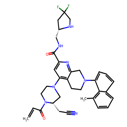 C=CC(=O)N1CCN(c2cc(C(=O)NC[C@@H]3CC(F)(F)CN3)nc3c2CCN(c2cccc4cccc(C)c24)C3)C[C@@H]1CC#N